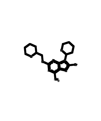 Nc1nc(OCC2CCCCO2)nc2c1nc(Br)n2C1CCCCO1